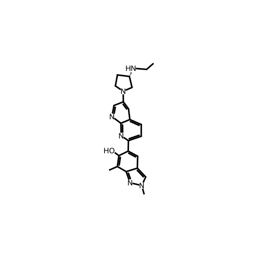 CCN[C@H]1CCN(c2cnc3nc(-c4cc5cn(C)nc5c(C)c4O)ccc3c2)C1